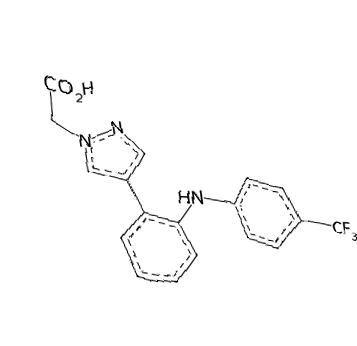 O=C(O)Cn1cc(-c2ccccc2Nc2ccc(C(F)(F)F)cc2)cn1